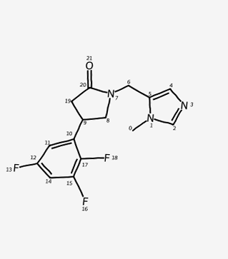 Cn1cncc1CN1CC(c2cc(F)cc(F)c2F)CC1=O